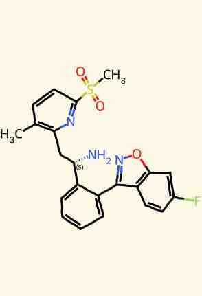 Cc1ccc(S(C)(=O)=O)nc1C[C@H](N)c1ccccc1-c1noc2cc(F)ccc12